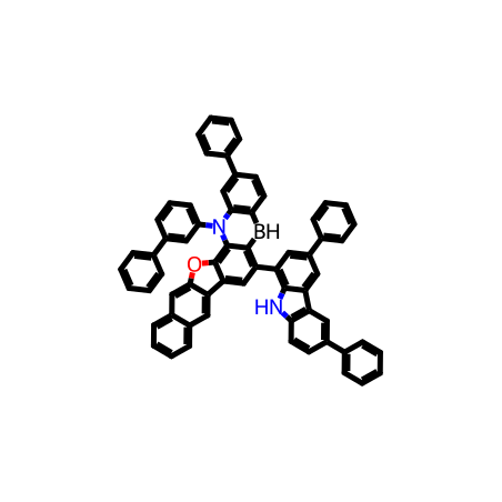 B1c2ccc(-c3ccccc3)cc2N(c2cccc(-c3ccccc3)c2)c2c1c(-c1cc(-c3ccccc3)cc3c1[nH]c1ccc(-c4ccccc4)cc13)cc1c2oc2cc3ccccc3cc21